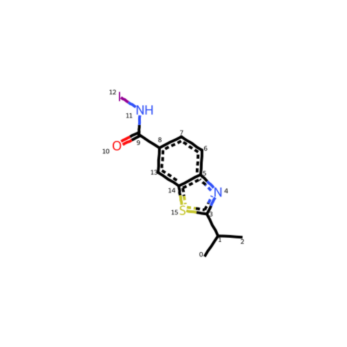 CC(C)c1nc2ccc(C(=O)NI)cc2s1